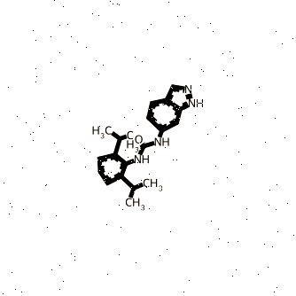 CC(C)c1cccc(C(C)C)c1NC(=O)Nc1ccc2cn[nH]c2c1